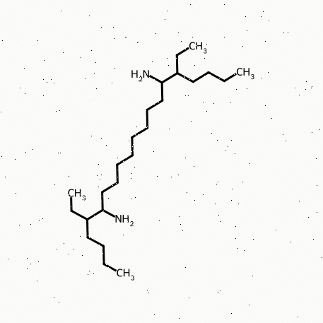 CCCCC(CC)C(N)CCCCCCCCC(N)C(CC)CCCC